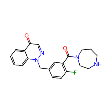 O=C(c1cc(Cn2ncc(=O)c3ccccc32)ccc1F)N1CCCNCC1